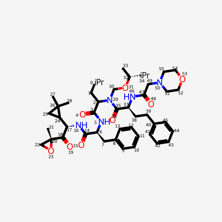 CC(C)CC(C(=O)N[C@@H](Cc1ccccc1)C(=O)N[C@H](C(=O)[C@@]1(C)CO1)C1CC1(C)C)N(CO[C@H](C)C(C)C)C(=O)[C@H](CCc1ccccc1)NC(=O)CN1CCOCC1